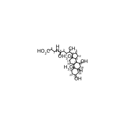 C[C@H](CCC(=O)NCCC(=O)O)[C@H]1CCC2C3C(CC[C@@]21C)[C@@]1(C)CC[C@@H](O)C[C@H]1C[C@@H]3O